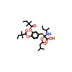 CCC(C)N[C@@](Cc1ccc(OC(=O)C(C)(C)CC)c(OC(=O)C(C)(C)CC)c1)(OC(=O)CC(C)C)C(=O)O